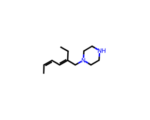 C/C=C\C=C(/CC)CN1CCNCC1